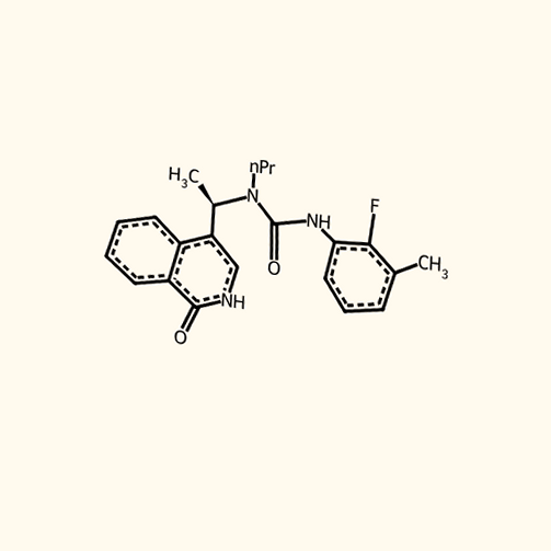 CCCN(C(=O)Nc1cccc(C)c1F)[C@H](C)c1c[nH]c(=O)c2ccccc12